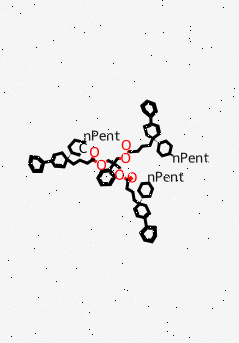 CCCCC[C@H]1CC[C@H](C2(CCCC(=O)OCC(COC(=O)CCCC3([C@H]4CC[C@H](CCCCC)CC4)C=CC(c4ccccc4)=CC3)(COC(=O)CCCC3([C@H]4CC[C@H](CCCCC)CC4)C=CC(c4ccccc4)=CC3)c3ccccc3)C=CC(c3ccccc3)=CC2)CC1